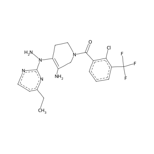 CCc1ccnc(N(N)C2=C(N)CN(C(=O)c3cccc(C(F)(F)F)c3Cl)CC2)n1